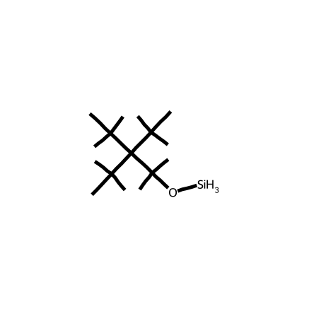 CC(C)(C)C(C(C)(C)C)(C(C)(C)C)C(C)(C)O[SiH3]